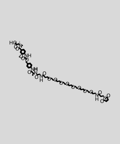 COc1cc(C(=O)N(C)[C@@H](C)C(=O)O)ccc1NC(=O)OCc1ccc(NC(=O)C(C)NC(=O)CNC(=O)CCOCCOCCOCCOCCOCCOCCOCCOCCNC(=O)CCN2C(=O)C=CC2=O)cc1